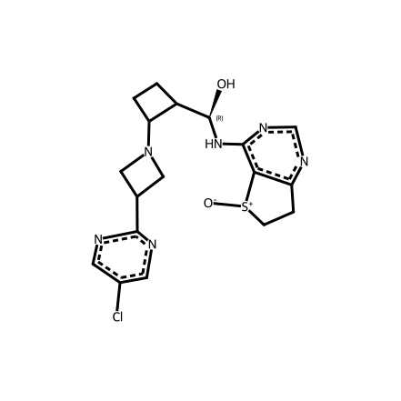 [O-][S+]1CCc2ncnc(N[C@H](O)C3CCC3N3CC(c4ncc(Cl)cn4)C3)c21